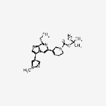 CSc1nc(C2=CCCN(C(=O)OC(C)(C)C)C2)cn2c(-c3cnn(C)c3)cnc12